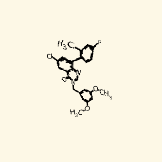 COc1cc(Cn2cnc3c(-c4ccc(F)cc4C)cc(Cl)cc3c2=O)cc(OC)c1